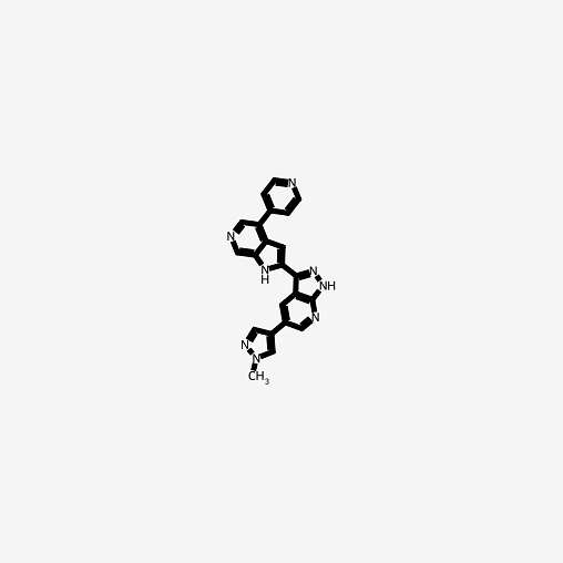 Cn1cc(-c2cnc3[nH]nc(-c4cc5c(-c6ccncc6)cncc5[nH]4)c3c2)cn1